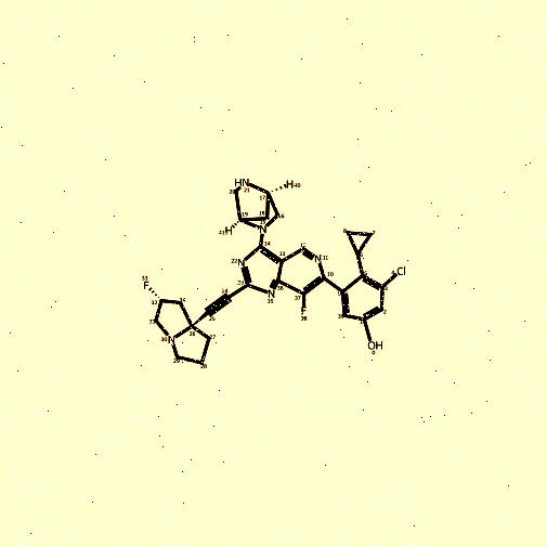 Oc1cc(Cl)c(C2CC2)c(-c2ncc3c(N4C[C@H]5C[C@@H]4CN5)nc(C#C[C@@]45CCCN4C[C@H](F)C5)nc3c2F)c1